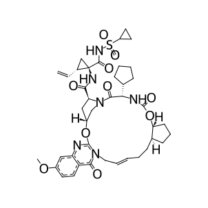 C=C[C@@H]1C[C@]1(NC(=O)[C@@H]1C[C@@H]2CN1C(=O)[C@H](C1CCCC1)NC(=O)O[C@@H]1CCC[C@H]1CC/C=C/Cn1c(nc3cc(OC)ccc3c1=O)O2)C(=O)NS(=O)(=O)C1CC1